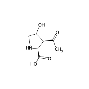 CC(=O)[C@@H]1C(O)CN[C@@H]1C(=O)O